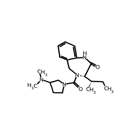 CC[C@H](C)[C@H]1C(=O)Nc2ccccc2CN1C(=O)N1CCC(N(C)C)C1